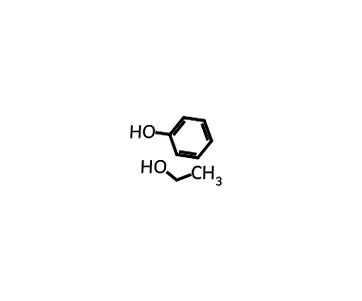 CCO.Oc1ccccc1